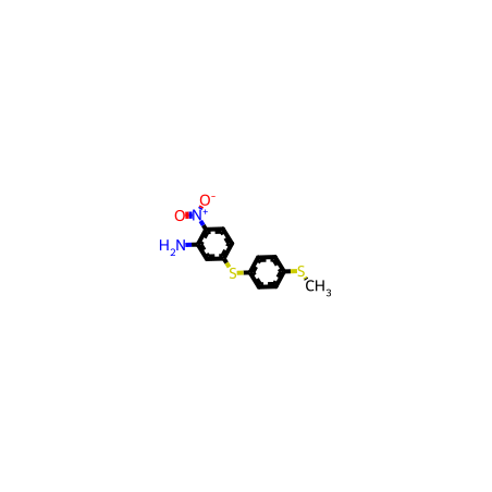 CSc1ccc(Sc2ccc([N+](=O)[O-])c(N)c2)cc1